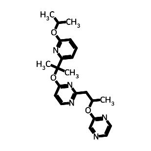 CC(C)Oc1cccc(C(C)(C)Oc2ccnc(CC(C)Oc3cnccn3)n2)n1